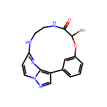 O=C1NCCNc2ccn3ncc(c3n2)-c2cccc(c2)OC1S